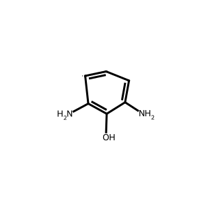 Nc1[c]ccc(N)c1O